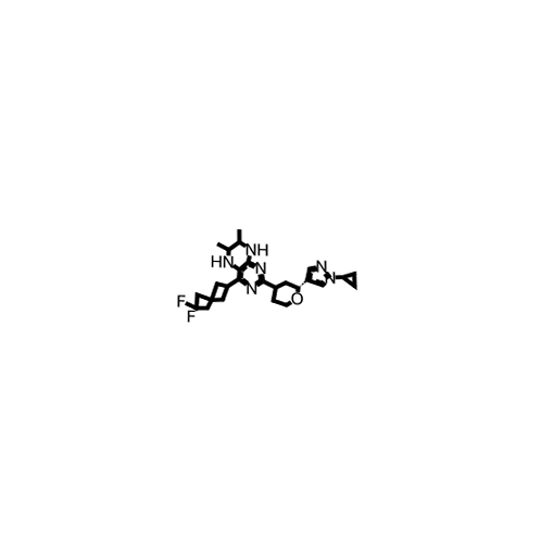 CC1Nc2nc(C3CCO[C@@H](c4cnn(C5CC5)c4)C3)nc(C3CC4(C3)CC(F)(F)C4)c2NC1C